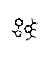 Cc1c(C(=O)O)cccc1C(=O)O.O=C1CC=NN1c1ccccc1